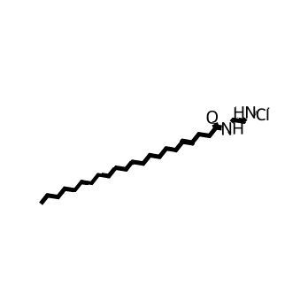 CCCCCCCCCCCCCCCCCCCCCC(=O)NCCNCl